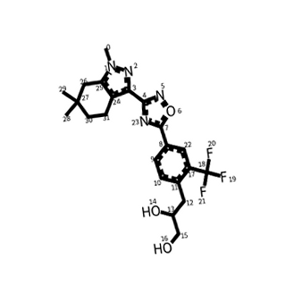 Cn1nc(-c2noc(-c3ccc(CC(O)CO)c(C(F)(F)F)c3)n2)c2c1CC(C)(C)CC2